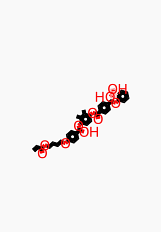 C=CC(=O)OCCCCOc1ccc(C(O)Oc2ccc(OC(=O)c3ccc(COc4ccccc4B(O)O)cc3)c(C)c2C)cc1